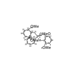 COc1cccc(OC)c1CP(=O)(Cc1c(OC)cccc1OC)c1ccccc1